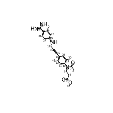 COC(=O)CCN(C(C)=O)c1cc(C)c(C#CCNc2ccc(C(=N)N)cc2)cc1C